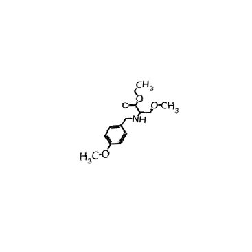 CCOC(=O)C(COC)NCc1ccc(OC)cc1